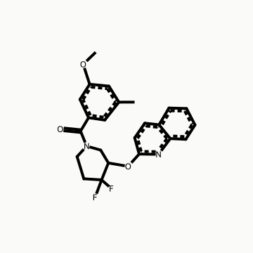 COc1cc(C)cc(C(=O)N2CCC(F)(F)C(Oc3ccc4ccccc4n3)C2)c1